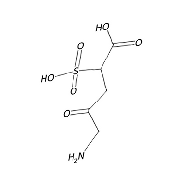 NCC(=O)CC(C(=O)O)S(=O)(=O)O